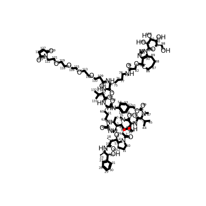 CC[C@H](C)[C@@H]([C@@H](CC(=O)N1CCC[C@H]1[C@H](OC)[C@@H](C)C(=O)N[C@H](C)[C@@H](O)c1ccccc1)OC)N(C)C(=O)[C@@H](NC(=O)[C@H](C(C)C)N(C)C(=O)OCc1ccc(NC(=O)[C@H](CCCNC(N)=O)NC(=O)[C@@H](NC(=O)[C@@H](CCCCNC(=O)COC2CCCCCc3c2nnn3[C@@H]2O[C@H](CO)[C@H](O)[C@H](O)[C@H]2O)NC(=O)CCOCCOCCOCCOCCN2C(=O)C=CC2=O)C(C)C)cc1)C(C)C